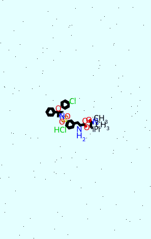 CC(C)C(OC(=O)[C@@H](N)Cc1cccc(S(=O)(=O)N2CC(Oc3ccc(Cl)cc3)(c3ccccc3)C2)c1)C(=O)N(C)C.Cl